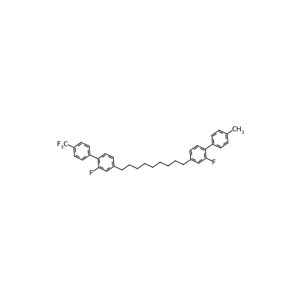 Cc1ccc(-c2ccc(CCCCCCCCCc3ccc(-c4ccc(C(F)(F)F)cc4)c(F)c3)cc2F)cc1